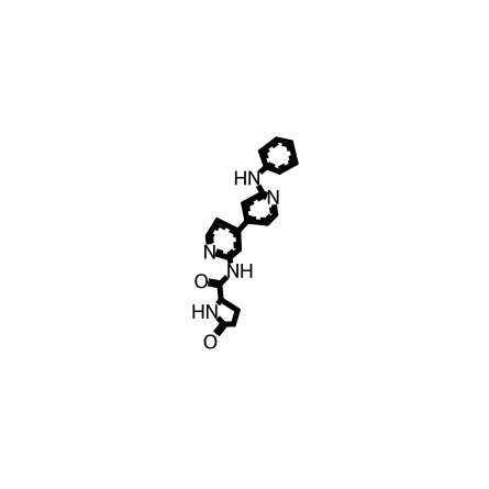 O=C1CCC(C(=O)Nc2cc(-c3ccnc(Nc4ccccc4)c3)ccn2)N1